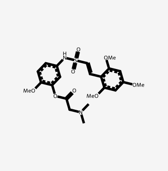 COc1cc(OC)c(C=CS(=O)(=O)Nc2ccc(OC)c(OC(=O)CN(C)C)c2)c(OC)c1